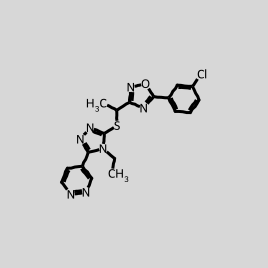 CCn1c(SC(C)c2noc(-c3cccc(Cl)c3)n2)nnc1-c1ccnnc1